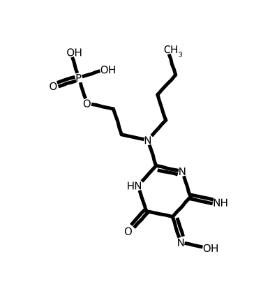 CCCCN(CCOP(=O)(O)O)C1=NC(=N)/C(=N\O)C(=O)N1